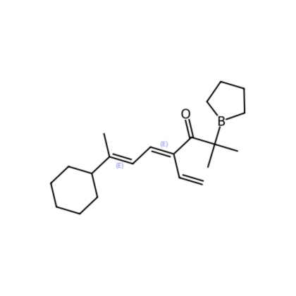 C=C/C(=C\C=C(/C)C1CCCCC1)C(=O)C(C)(C)B1CCCC1